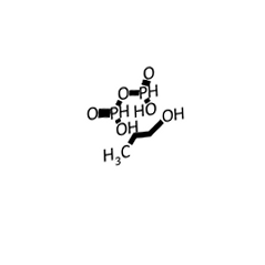 CCCO.O=[PH](O)O[PH](=O)O